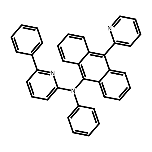 c1ccc(-c2cccc(N(c3ccccc3)c3c4ccccc4c(-c4ccccn4)c4ccccc34)n2)cc1